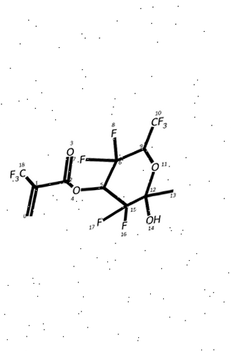 C=C(C(=O)OC1C(F)(F)C(C(F)(F)F)OC(C)(O)C1(F)F)C(F)(F)F